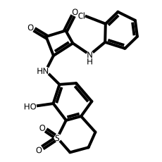 O=c1c(Nc2ccccc2Cl)c(Nc2ccc3c(c2O)S(=O)(=O)CCC3)c1=O